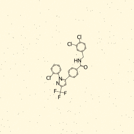 O=C(NCc1ccc(Cl)c(Cl)c1)c1ccc(-c2cc(C(F)(F)F)nn2-c2ccccc2Cl)cc1